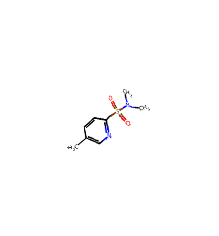 [CH2]c1ccc(S(=O)(=O)N(C)C)nc1